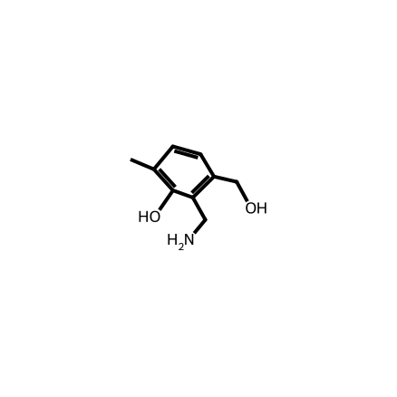 Cc1ccc(CO)c(CN)c1O